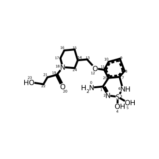 NC1=NS(O)(O)Nc2cccc(OCC3CCCN(C(=O)CCO)C3)c21